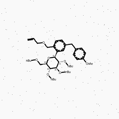 C=CCOCc1ccc(Cc2ccc(OC)cc2)cc1[C@@H]1O[C@H](COCCCC)[C@@H](OCCCC)[C@H](OCCCC)[C@H]1OCCCC